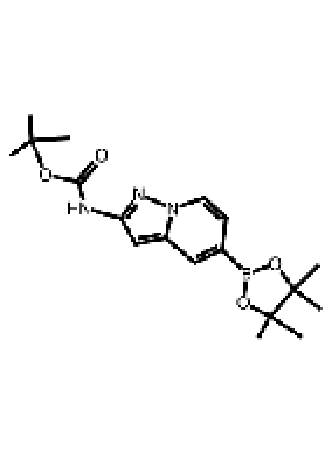 CC(C)(C)OC(=O)Nc1cc2cc(B3OC(C)(C)C(C)(C)O3)ccn2n1